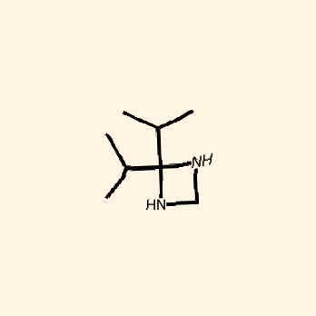 CC(C)C1(C(C)C)NCN1